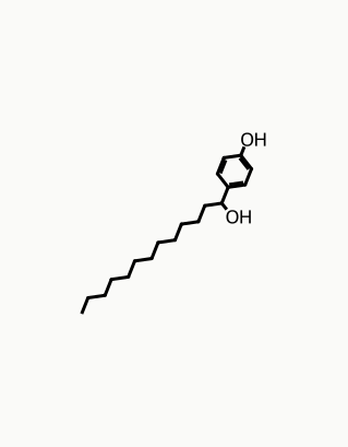 CCCCCCCCCCCCC(O)c1ccc(O)cc1